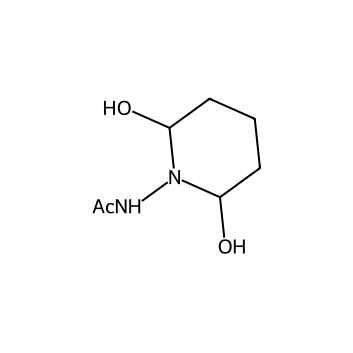 CC(=O)NN1C(O)CCCC1O